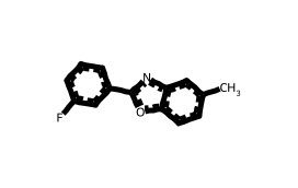 Cc1ccc2oc(-c3cccc(F)c3)nc2c1